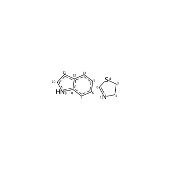 C1=NCCS1.c1ccc2[nH]ccc2c1